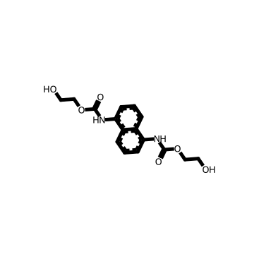 O=C(Nc1cccc2c(NC(=O)OCCO)cccc12)OCCO